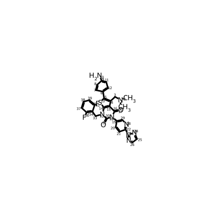 CN(C)Cc1c(-c2ccc(N)cc2)sc2c1c(=O)n(-c1ccc(-n3nccn3)nc1)c(=O)n2Cc1c(F)cccc1F